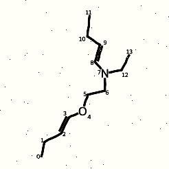 CCC=COCCN(C=CCC)CC